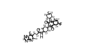 Cc1nc2ncnn2c(C)c1CCC(=O)N[C@H]1CC[C@@H](n2c(=O)c3cc(F)cnc3n(C3CCSCC3)c2=O)CC1